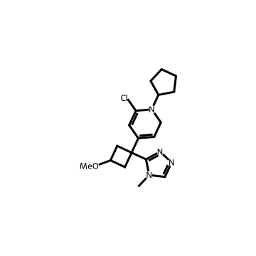 COC1CC(C2=CCN(C3CCCC3)C(Cl)=C2)(c2nncn2C)C1